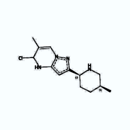 CC1=Cn2nc([C@@H]3CC[C@H](C)CN3)cc2NC1Cl